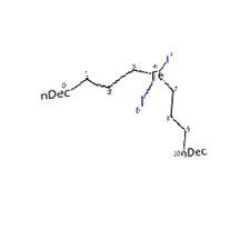 CCCCCCCCCCCCC[Te](I)(I)CCCCCCCCCCCCC